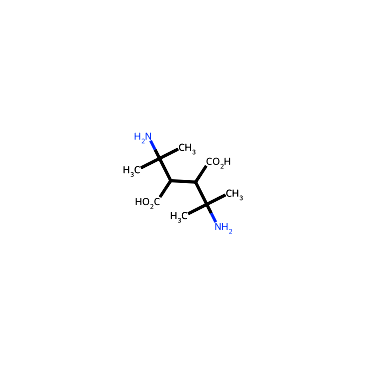 CC(C)(N)C(C(=O)O)C(C(=O)O)C(C)(C)N